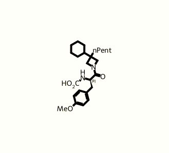 CCCCCC1(C2CCCCC2)CN(C(=O)[C@@H](Cc2ccc(OC)cc2)NC(=O)O)C1